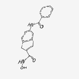 O=C(NO)C1=Cc2cc(NC(=O)c3ccccc3)ccc2C1